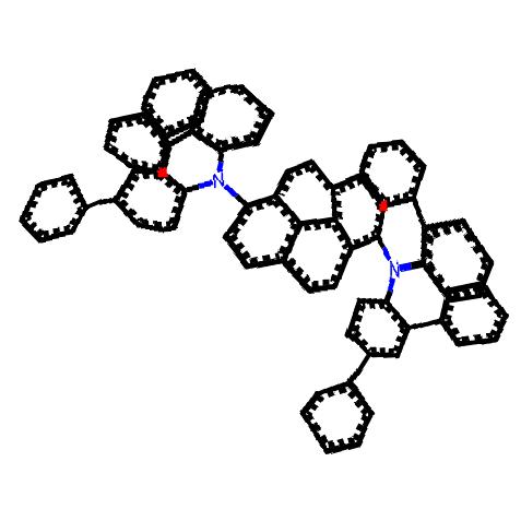 c1ccc(-c2ccc(N(c3ccccc3-c3ccccc3)c3ccc4ccc5c(N(c6ccccc6-c6ccccc6)c6ccc(-c7ccccc7)cc6-c6ccccc6)ccc6ccc3c4c65)c(-c3ccccc3)c2)cc1